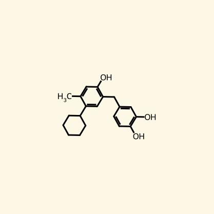 Cc1cc(O)c(Cc2ccc(O)c(O)c2)cc1C1CCCCC1